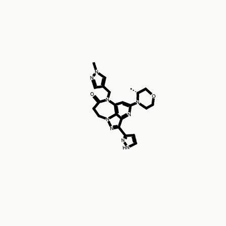 C[C@@H]1COCCN1c1cc2c3c(n1)c(-c1cc[nH]n1)nn3CCC(=O)N2Cc1cnn(C)c1